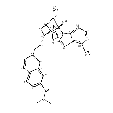 CC(C)Nc1ccc2ccc(CC[C@@]34CC5[C@@H]3[C@@H](n3ccc6c(N)ncnc63)[C@@]5(O)[C@@H]4O)cc2n1